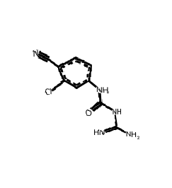 N#Cc1ccc(NC(=O)NC(=N)N)cc1Cl